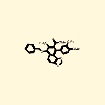 COC(=O)c1c(C(=O)O)c(OCc2ccccc2)c2ccc3c(c2c1-c1ccc(OC)c(OC)c1)OCO3